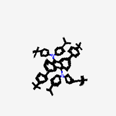 CC(C)c1ccc(N(c2ccc(C(C)(C)C)cc2)c2c3ccc(-c4ccc(C(C)(C)C)cc4)cc3c(N(c3ccc(C(C)C)cc3)c3ccc(C(C)(C)C)cc3)c3ccc(-c4ccc(C(C)(C)C)cc4)cc23)cc1